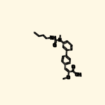 CCCCNC(=O)N(C)c1cccc(-c2ccc(/C=C(/OC)C(=O)O)cc2)c1